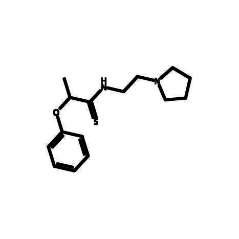 CC(Oc1ccccc1)C(=S)NCCN1CCCC1